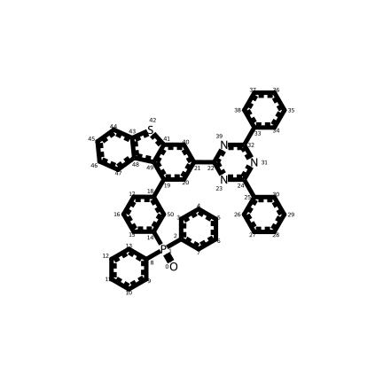 O=P(c1ccccc1)(c1ccccc1)c1cccc(-c2cc(-c3nc(-c4ccccc4)nc(-c4ccccc4)n3)cc3sc4ccccc4c23)c1